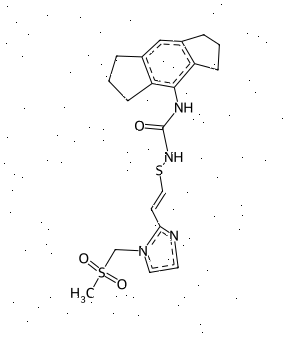 CS(=O)(=O)Cn1ccnc1/C=C/SNC(=O)Nc1c2c(cc3c1CCC3)CCC2